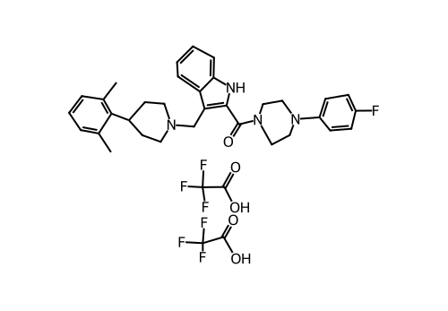 Cc1cccc(C)c1C1CCN(Cc2c(C(=O)N3CCN(c4ccc(F)cc4)CC3)[nH]c3ccccc23)CC1.O=C(O)C(F)(F)F.O=C(O)C(F)(F)F